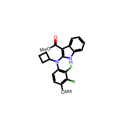 COC(=O)c1c(N(c2ccc(OC)c(F)c2F)C2CCC2)[nH]c2ccccc12